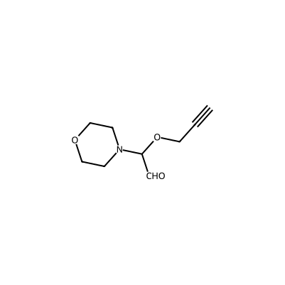 C#CCOC(C=O)N1CCOCC1